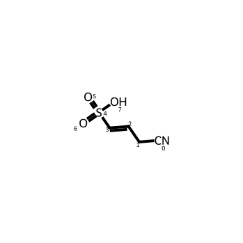 N#CCC=CS(=O)(=O)O